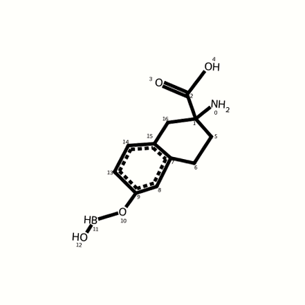 NC1(C(=O)O)CCc2cc(OBO)ccc2C1